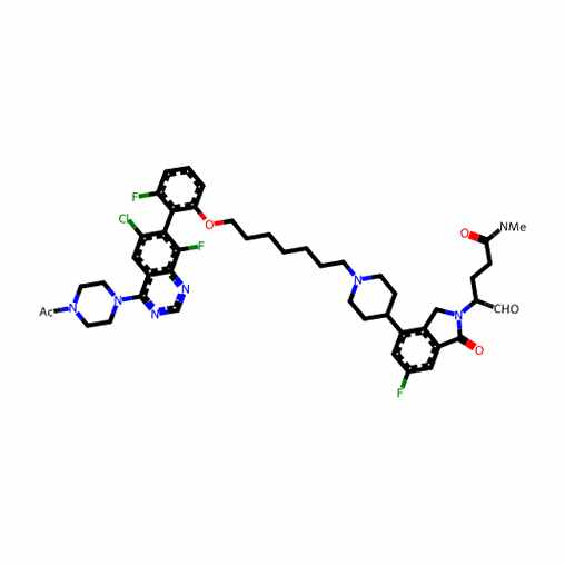 CNC(=O)CCC(C=O)N1Cc2c(cc(F)cc2C2CCN(CCCCCCCOc3cccc(F)c3-c3c(Cl)cc4c(N5CCN(C(C)=O)CC5)ncnc4c3F)CC2)C1=O